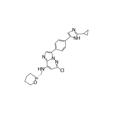 Clc1cc(NC[C@H]2CCCCO2)c2ncc(-c3ccc(-c4cnc(C5CC5)[nH]4)cc3)n2n1